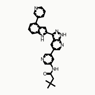 CC(C)(C)CC(=O)Nc1cncc(-c2cnc3[nH]nc(-c4cc5c(-c6cccnc6)cccc5[nH]4)c3c2)c1